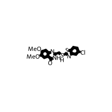 COc1cc2nc(C=[SH]c3nc4cc(Cl)ccc4s3)[nH]c(=O)c2cc1OC